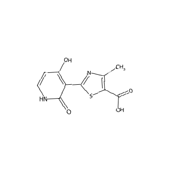 Cc1nc(-c2c(O)cc[nH]c2=O)sc1C(=O)O